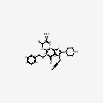 CC#CCn1c(N2CCNCC2)nc2nc(SC(C)C(=O)O)n(CCc3ccccc3)c(=O)c21.Cl